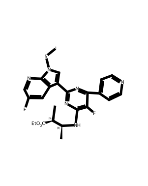 CCOC(=O)[C@@H](C)[C@H](C)Nc1nc(-c2cn(SI)c3ncc(F)cc23)nc(-c2ccncc2)c1F